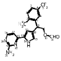 Cc1ccc(C(F)(F)F)cc1C(COC=O)c1c[nH]c(-c2ccnc(N)n2)c1